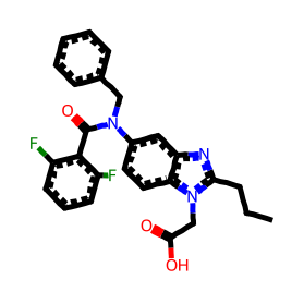 CCCc1nc2cc(N(Cc3ccccc3)C(=O)c3c(F)cccc3F)ccc2n1CC(=O)O